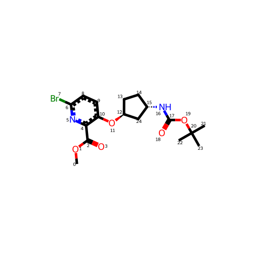 COC(=O)c1nc(Br)ccc1O[C@H]1CC[C@H](NC(=O)OC(C)(C)C)C1